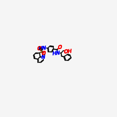 O=C(NC(CO)Cc1ccccc1)c1ccc(NS(=O)(=O)c2cccc3cccnc23)cc1